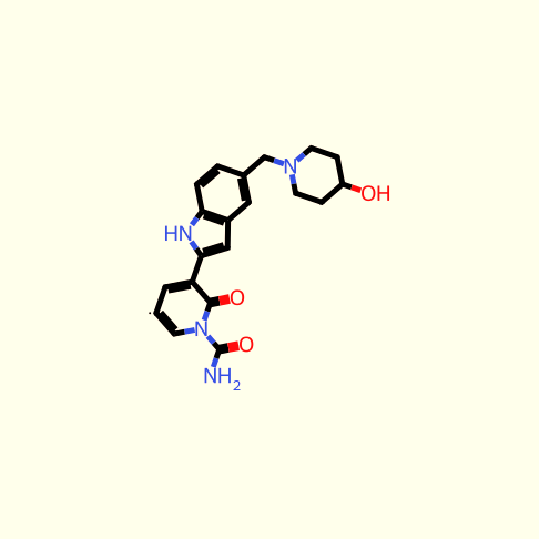 NC(=O)n1c[c]cc(-c2cc3cc(CN4CCC(O)CC4)ccc3[nH]2)c1=O